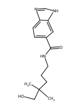 CC(C)(CO)CCCNC(=O)c1ccc2nc[nH]c2c1